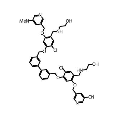 CNc1cncc(COc2cc(OCc3cccc(-c4cccc(COc5cc(OCc6cncc(C#N)c6)c(CNCCO)cc5Cl)c4)c3)c(Cl)cc2CNCCO)c1